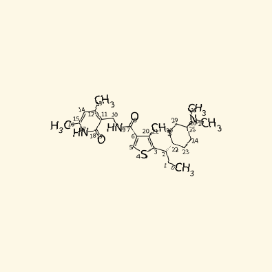 CCC(c1scc(C(=O)NCc2c(C)cc(C)[nH]c2=O)c1C)[C@H]1CC[C@H](N(C)C)CC1